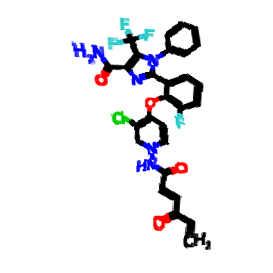 C=CC(=O)C=CC(=O)NN1C=CC(Oc2c(F)cccc2-c2nc(C(N)=O)c(C(F)(F)F)n2-c2ccccc2)=C(Cl)C1